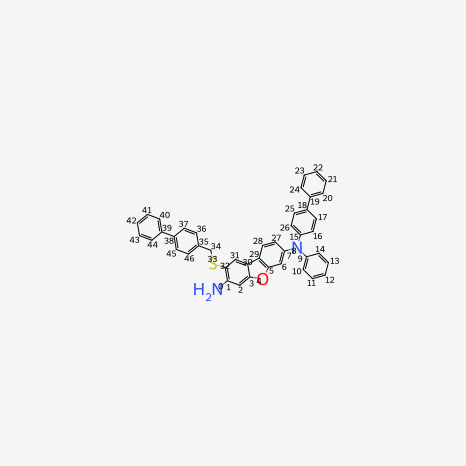 Nc1cc2oc3cc(N(c4ccccc4)c4ccc(-c5ccccc5)cc4)ccc3c2cc1SCc1ccc(-c2ccccc2)cc1